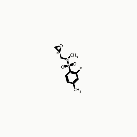 Cc1ccc(S(=O)(=O)N(C)C[C@H]2CO2)c(F)c1